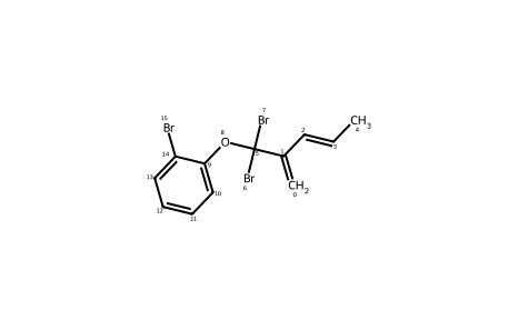 C=C(C=CC)C(Br)(Br)Oc1ccccc1Br